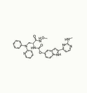 CNc1nccc(-c2cc3cc(OC(=O)N[C@@H](CN(c4ccccc4)c4ccccn4)C(=O)NOC)ccc3[nH]2)n1